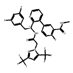 CNC(=O)c1cc(-c2cccnc2[C@H](Cc2cc(F)cc(F)c2)NC(=O)Cn2nc(C(F)(F)F)cc2C(F)(F)F)ccc1F